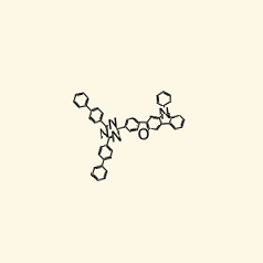 c1ccc(-c2ccc(-c3nc(-c4ccc(-c5ccccc5)cc4)nc(-c4ccc5c(c4)oc4cc6c7ccccc7n(-c7ccccc7)c6cc45)n3)cc2)cc1